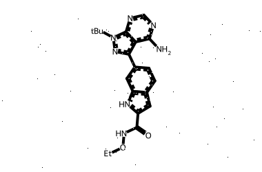 CCONC(=O)c1cc2ccc(-c3nn(C(C)(C)C)c4ncnc(N)c34)cc2[nH]1